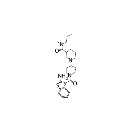 CCCN(C)C(=O)C1CCCN(C2CCN(C(=O)c3c(N)sc4ccccc34)CC2)C1